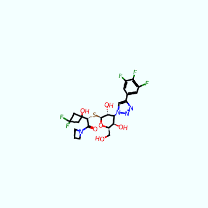 O=C([C@@H](S[C@@H]1O[C@H](CO)[C@H](O)[C@H](n2cc(-c3cc(F)c(F)c(F)c3)nn2)[C@H]1O)C1(O)CC(F)(F)C1)N1CCC1